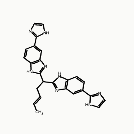 CC=CCC(c1nc2cc(-c3ncc[nH]3)ccc2[nH]1)c1nc2cc(-c3ncc[nH]3)ccc2[nH]1